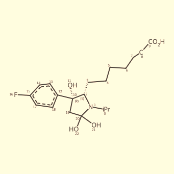 CC(C)N1[C@@H](CCCCCCC(=O)O)[C@](O)(c2ccc(F)cc2)CC1(O)O